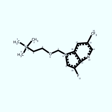 C[Si](C)(C)CCOCn1cc(F)c2ncc(C(F)(F)F)cc21